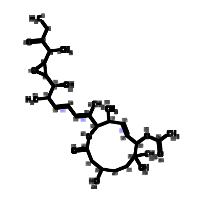 CCC(=O)C(C)C1OC1[C@@H](O)C(C)/C=C/C=C(\C)C1OC(=O)CC(O)CCC(C)(O)C(OC(C)=O)/C=C/C1C